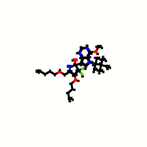 CCCCOC[C@H]1NC(O)(c2cn([Si](C)(C)C(C)(C)C)c3c(OC)ncnc23)C(F)(F)[C@@H]1OCCCC